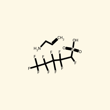 C=CCN.O=S(=O)(O)C(F)C(F)(F)C(F)(F)C(F)(F)C(F)(F)F